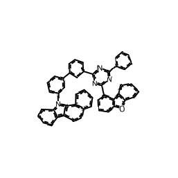 c1ccc(-c2nc(-c3cccc(-c4cccc(-n5c6ccccc6c6ccc7ccccc7c65)c4)c3)nc(-c3cccc4oc5ccccc5c34)n2)cc1